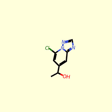 CC(O)c1cc(Cl)n2ncnc2c1